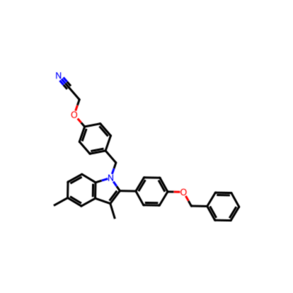 Cc1ccc2c(c1)c(C)c(-c1ccc(OCc3ccccc3)cc1)n2Cc1ccc(OCC#N)cc1